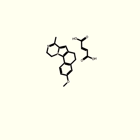 COc1ccc2c(c1)CCc1cc3n(c1-2)CCN=C3C.O=C(O)C=CC(=O)O